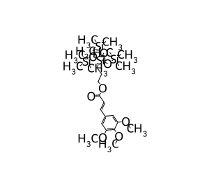 COc1cc(C=CC(=O)OCCC[Si](O[Si](C)(C)C)(O[Si](C)(C)C)O[Si](C)(C)C)cc(OC)c1OC